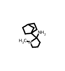 CN1CCCC1(N)C12CCC(CC1)C2